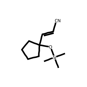 C[Si](C)(C)OC1(C=CC#N)CCCC1